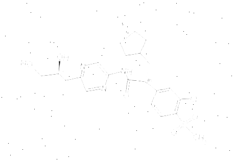 CS(=O)(=O)c1ccc([C@@H](CC2CCCC2)C(=O)Nc2cnc(C[C@H](O)CO)cn2)cc1Cl